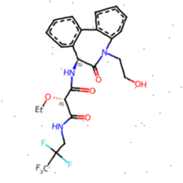 CCO[C@@H](C(=O)NCC(F)(F)C(F)(F)F)C(=O)N[C@@H]1C(=O)N(CCO)c2ccccc2-c2ccccc21